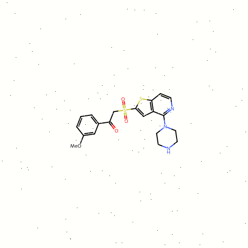 COc1cccc(C(=O)CS(=O)(=O)c2cc3c(N4CCNCC4)nccc3s2)c1